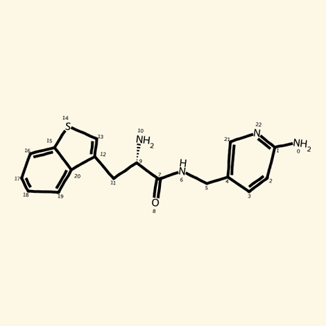 Nc1ccc(CNC(=O)[C@@H](N)Cc2csc3ccccc23)cn1